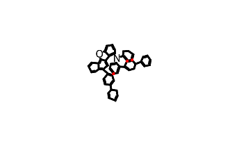 C1=CCCC(N(c2ccccc2C2=CCC(c3ccccc3)C=C2)c2cccc3oc4c5ccccc5c(-c5ccc(C6C=CC=CC6)cc5)cc4c23)=C1